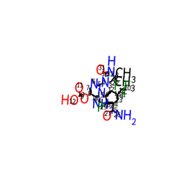 CC1(C)CN(C2=NC=C(OC(=O)O)C(N)N2c2cc(C(F)(F)F)cc(C(N)=O)c2F)C(=O)N1